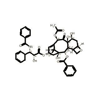 CC(=O)O[C@H]1C(=O)[C@@]2(C)[C@@H]([C@@H]3CO[C@@H]3C[C@@H]2O)[C@H](OC(=O)c2ccccc2)[C@]2(O)C[C@H](OC(=O)[C@H](O)[C@@H](NC(=O)c3ccccc3)C3C=CC=CC3)C=C1C2(C)C